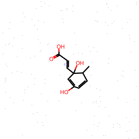 CC1C=CC(O)=CC1(O)/C=C/C(=O)O